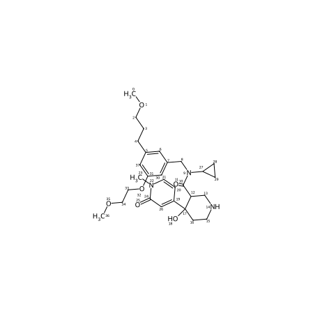 COCCCc1cc(CN(C(=O)C2CNCCC2(O)c2ccn(C)c(=O)c2)C2CC2)cc(OCCOC)c1